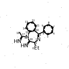 CCC1N=C(c2ccccc2)c2ccccc2N(C(C)=N)C1=N